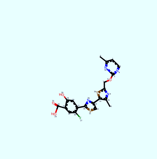 Cc1ccnc(OCc2nc(C)c(-c3csc(-c4cc(O)c(C(=O)O)cc4F)n3)s2)n1